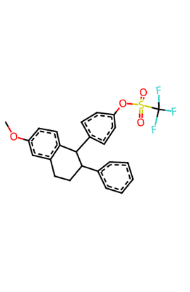 COc1ccc2c(c1)CCC(c1ccccc1)C2c1ccc(OS(=O)(=O)C(F)(F)F)cc1